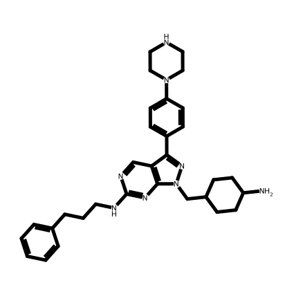 NC1CCC(Cn2nc(-c3ccc(N4CCNCC4)cc3)c3cnc(NCCCc4ccccc4)nc32)CC1